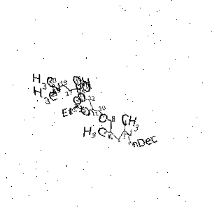 CCCCCCCCCCCCC(C)CC(C)COCC(COP(=O)(O)CCN(C)C)OC(=O)CC